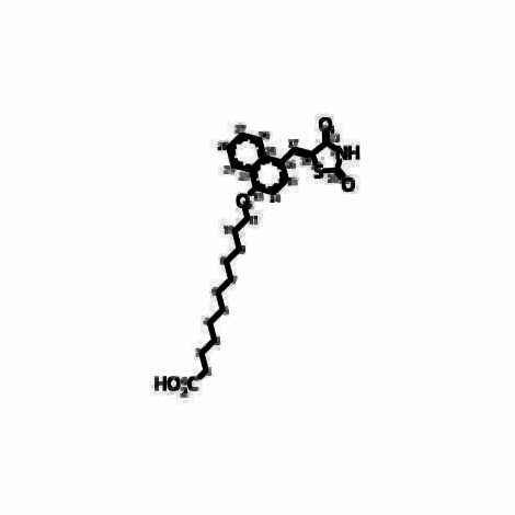 O=C(O)CCCCCCCCCCCOc1ccc(/C=C2\SC(=O)NC2=O)c2ccccc12